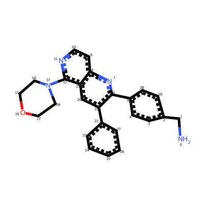 NCc1ccc(-c2nc3ccnc(N4CCOCC4)c3cc2-c2ccccc2)cc1